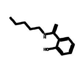 C=C(NCCCCC)c1ccccc1O